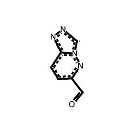 O=Cc1ccc2nn[c]n2n1